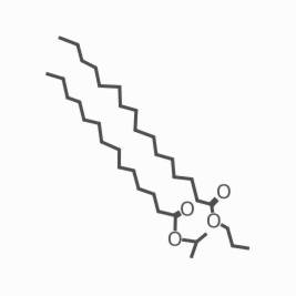 CCCCCCCCCCCCCC(=O)OC(C)C.CCCCCCCCCCCCCCCC(=O)OCCC